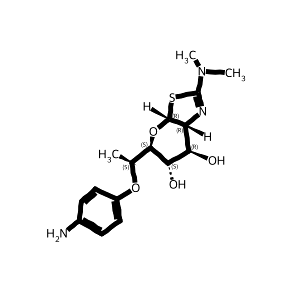 C[C@H](Oc1ccc(N)cc1)[C@H]1O[C@@H]2SC(N(C)C)=N[C@@H]2[C@@H](O)[C@@H]1O